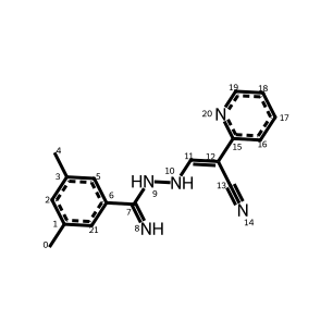 Cc1cc(C)cc(C(=N)NNC=C(C#N)c2ccccn2)c1